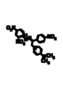 CN(C)c1cc[n+](C/C(=N\Nc2ccc([N+](=O)[O-])cc2[N+](=O)[O-])c2ccc([N+](=O)[O-])cc2)cc1